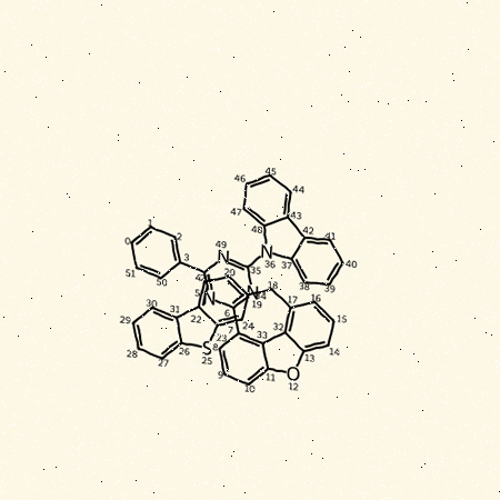 c1ccc(-c2nc(-c3cccc4oc5cccc(Cc6ccc7c(c6)sc6ccccc67)c5c34)nc(-n3c4ccccc4c4ccccc43)n2)cc1